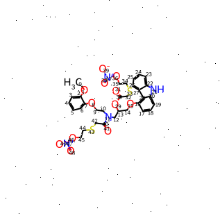 COc1ccccc1OCCN(CC(COc1cccc2[nH]c3ccccc3c12)OC(=O)CSCCO[N+](=O)[O-])C(=O)CSCCO[N+](=O)[O-]